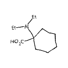 C[CH2][Al]([CH2]C)[C]1(C(=O)O)CCCCC1